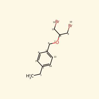 CCc1ccc(COC(CBr)CBr)cc1